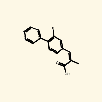 CC(=Cc1ccc(-c2ccccc2)c(F)c1)C(=O)O